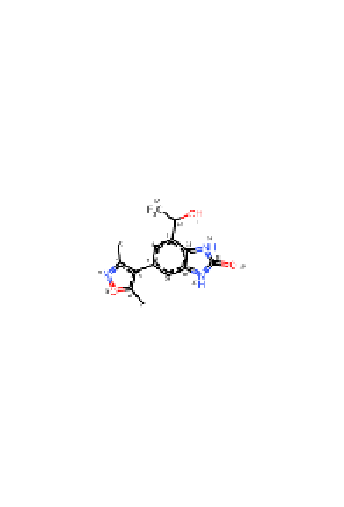 Cc1noc(C)c1-c1cc(C(O)C(F)(F)F)c2[nH]c(=O)[nH]c2c1